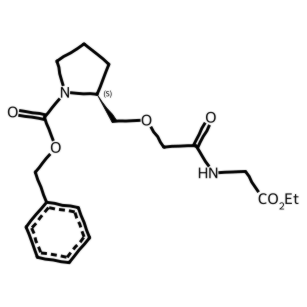 CCOC(=O)CNC(=O)COC[C@@H]1CCCN1C(=O)OCc1ccccc1